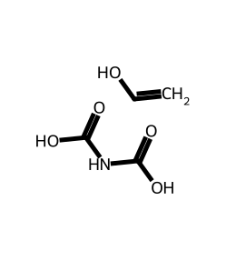 C=CO.O=C(O)NC(=O)O